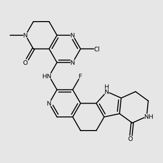 CN1CCc2nc(Cl)nc(Nc3ncc4c(c3F)-c3[nH]c5c(c3CC4)C(=O)NCC5)c2C1=O